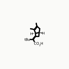 CC1=C(C)[C@@H]2C(=C(C(=O)O)C(C)(C)C)C[C@H]2C1